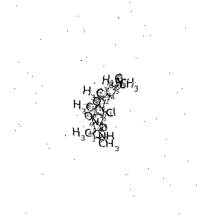 Cc1cc(C)c(CN2CCc3c(Cl)c4c(c(C)c3C2=O)OC(C)(C2CCC(N(C)C)CC2)C4)c(=O)[nH]1